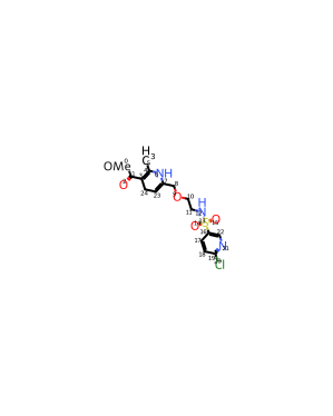 COC(=O)C1=C(C)NC(COCCNS(=O)(=O)c2ccc(Cl)nc2)=CC1